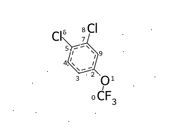 FC(F)(F)Oc1c[c]c(Cl)c(Cl)c1